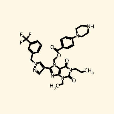 CCCn1c(=O)c2c(nc(-c3cnn(Cc4cccc(C(F)(F)F)c4)c3)n2COC(=O)c2ccc(N3CCNCC3)cc2)n(CC)c1=O